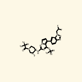 [2H]C([2H])([2H])Oc1nc(N[C@H]2CCN(C(=O)C([2H])([2H])[2H])C[C@H]2F)nn2ccc(-c3ccc4nnn(CC(F)F)c4c3)c12